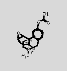 CC(=O)Oc1ccc2c(c1)[C@]13CCN(C)[C@H](C2)[C@@H]1CCC1OC13